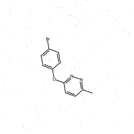 Cc1ccc(Oc2ccc(Br)cc2)nn1